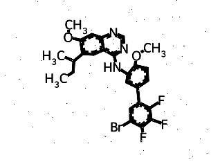 CCC(C)c1cc2c(Nc3cc(-c4cc(Br)c(F)c(F)c4F)ccc3OC)ncnc2cc1OC